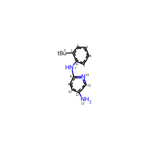 CC(C)(C)c1ccccc1Nc1ccc(N)cn1